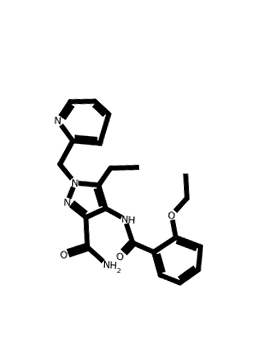 CCOc1ccccc1C(=O)Nc1c(C(N)=O)nn(Cc2ccccn2)c1CC